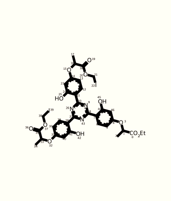 CCOC(=O)C(C)Oc1ccc(-c2nc(-c3ccc(OC(C)C(=O)OCI)cc3O)nc(-c3ccc(OC(C)C(=O)OCI)cc3O)n2)c(O)c1